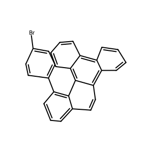 Brc1ccc(-c2cccc3ccc4c5ccccc5c5ccccc5c4c23)cc1